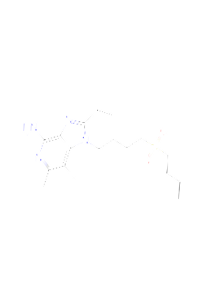 CCCCS(=O)(=O)CCCCn1c(CC)nc2c(N)nc(C)c(C)c21